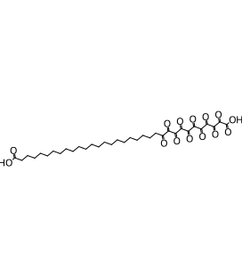 O=C(O)CCCCCCCCCCCCCCCCCCCCCCC(=O)C(=O)C(=O)C(=O)C(=O)C(=O)C(=O)C(=O)C(=O)C(=O)C(=O)O